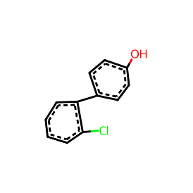 Oc1ccc(-c2ccccc2Cl)cc1